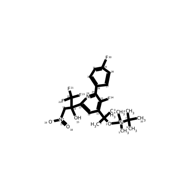 CC(C)(O[Si](C)(C)C(C)(C)C)c1cc(C(O)(C[N+](=O)[O-])C(F)(F)F)nc(-c2ccc(F)cc2)c1F